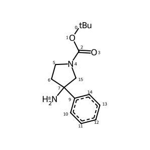 CC(C)(C)OC(=O)N1CCC(N)(c2ccccc2)C1